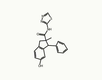 CC1(C(=O)Nc2nncs2)Cc2ccc(O)cc2C1c1ccccc1